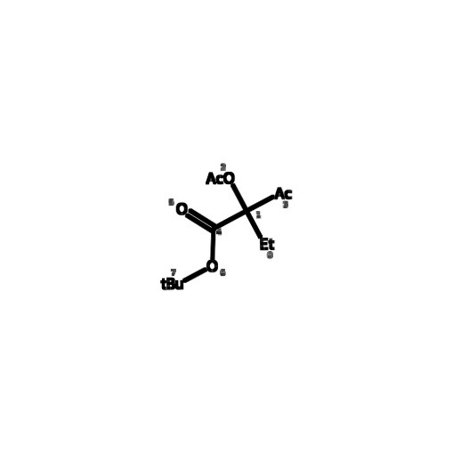 CCC(OC(C)=O)(C(C)=O)C(=O)OC(C)(C)C